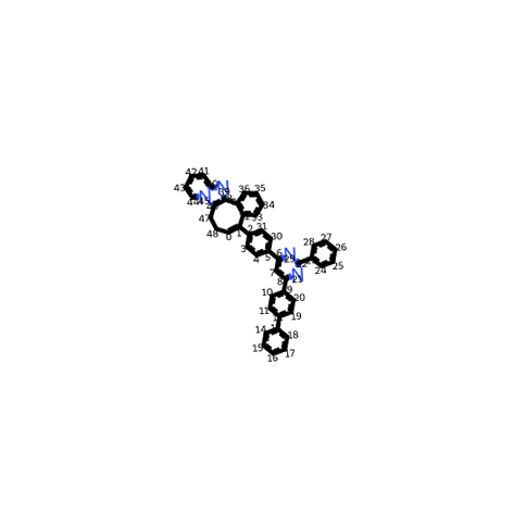 C1=C(/c2ccc(-c3cc(-c4ccc(-c5ccccc5)cc4)nc(-c4ccccc4)n3)cc2)c2ccccc2-c2nc3ccccn3c2CC/1